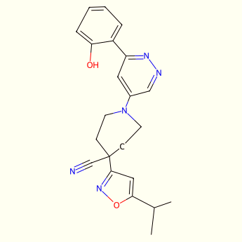 CC(C)c1cc(C2(C#N)CCN(c3cnnc(-c4ccccc4O)c3)CC2)no1